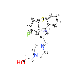 OCCN1CCN(CC/C=C2/c3ccccc3Sc3ccc(F)cc32)CC1